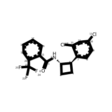 O=C(N[C@H]1CC[C@@H]1c1ccc(Cl)cc1Cl)c1ccccc1C(F)(F)F